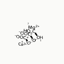 O=C(O)O.O=C([O-])[O-].O=C([O-])[O-].[Ca+2].[Mg+2]